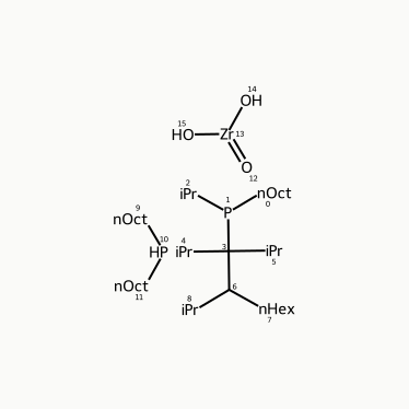 CCCCCCCCP(C(C)C)C(C(C)C)(C(C)C)C(CCCCCC)C(C)C.CCCCCCCCPCCCCCCCC.[O]=[Zr]([OH])[OH]